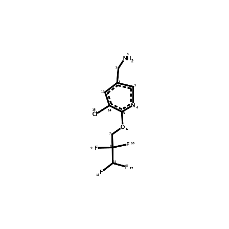 NCc1cnc(OCC(F)(F)C(F)F)c(Cl)c1